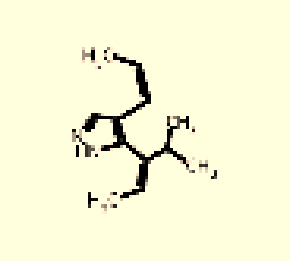 C/C=C\c1cn[nH]c1/C(=C\C)C(C)C